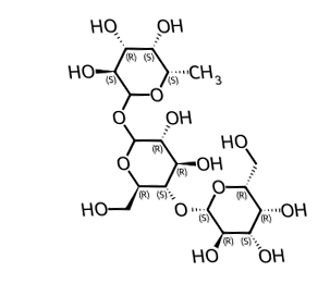 C[C@@H]1OC(OC2O[C@H](CO)[C@@H](O[C@@H]3O[C@H](CO)[C@H](O)[C@H](O)[C@H]3O)[C@H](O)[C@H]2O)[C@@H](O)[C@H](O)[C@@H]1O